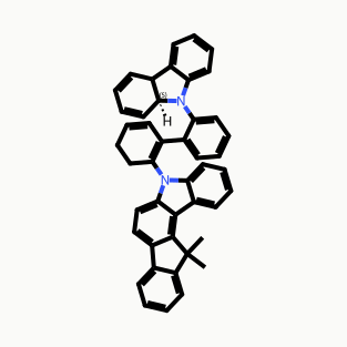 CC1(C)c2ccccc2-c2ccc3c(c21)c1ccccc1n3C1=C(c2ccccc2N2c3ccccc3C3C=CC=C[C@@H]32)C=CCC1